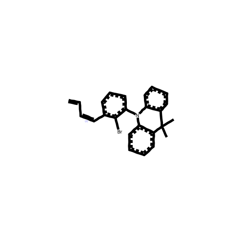 C=C/C=C\c1cccc(N2c3ccccc3C(C)(C)c3ccccc32)c1Br